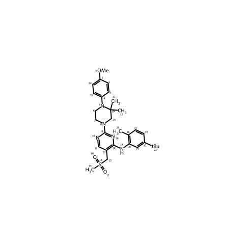 COc1ccc(N2CCN(c3ncc(CS(C)(=O)=O)c(Nc4cc(C(C)(C)C)ccc4C)n3)CC2(C)C)cc1